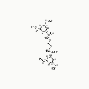 O=C(NCCCNC(=O)c1cc(CS)cc(CS)c1)c1cc(CS)cc(CS)c1